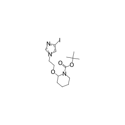 CC(C)(C)OC(=O)N1CCCCC1OCCn1cnc(I)c1